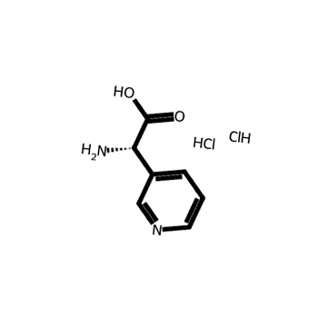 Cl.Cl.N[C@H](C(=O)O)c1cccnc1